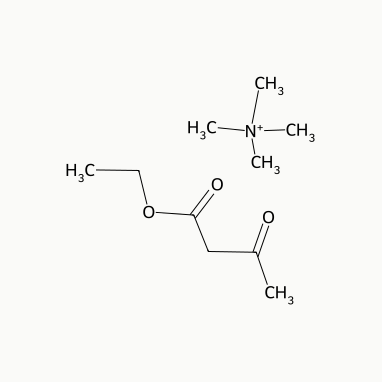 CCOC(=O)CC(C)=O.C[N+](C)(C)C